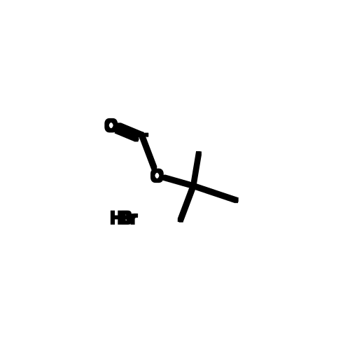 Br.CC(C)(C)O[C]=O